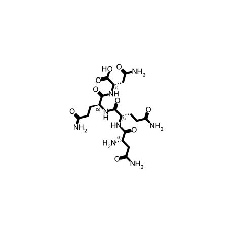 NC(=O)CC[C@H](NC(=O)[C@H](CCC(N)=O)NC(=O)[C@@H](N)CC(N)=O)C(=O)N[C@@H](CC(N)=O)C(=O)O